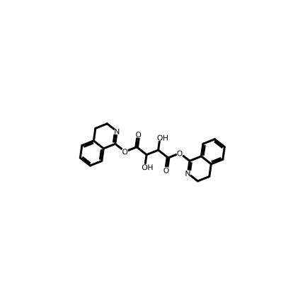 O=C(OC1=NCCc2ccccc21)C(O)C(O)C(=O)OC1=NCCc2ccccc21